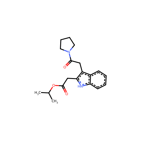 CC(C)OC(=O)Cc1[nH]c2ccccc2c1CC(=O)N1CCCC1